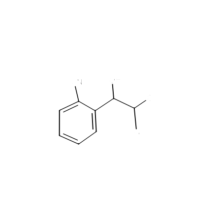 CC(O)C(O)c1ccccc1C#N